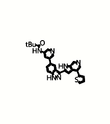 CC(C)(C)C(=O)Nc1cncc(-c2ccc3[nH]nc(-c4cc5c(-c6cccs6)cncc5[nH]4)c3c2)c1